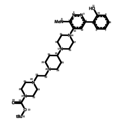 CNc1nnc(-c2ccccc2O)cc1N1CCN(C2CCN(CCN3CCN(C(=O)OC(C)(C)C)CC3)CC2)CC1